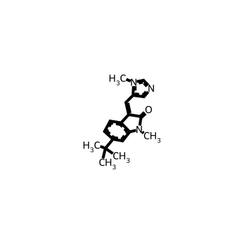 CN1C(=O)/C(=C\c2cncn2C)c2ccc(C(C)(C)C)cc21